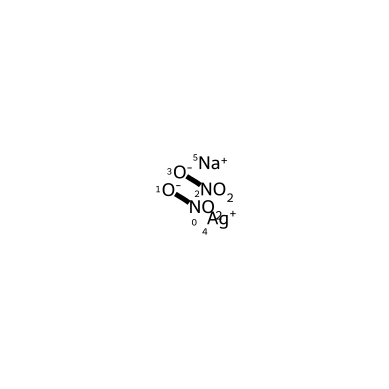 O=[N+]([O-])[O-].O=[N+]([O-])[O-].[Ag+].[Na+]